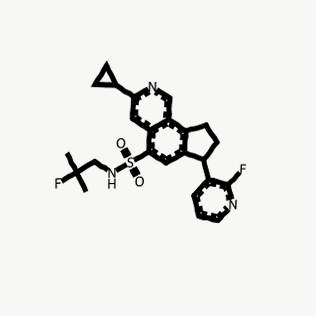 CC(C)(F)CNS(=O)(=O)c1cc2c(c3cnc(C4CC4)cc13)CCC2c1cccnc1F